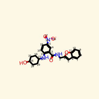 O=C(NCc1cc2ccccc2o1)c1cc([N+](=O)[O-])ccc1NC1CCC(O)CC1